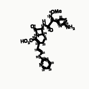 CON=C(C(=O)NC1C(=O)N2C(C(=O)O)=C(C=CSc3ncccn3)CSC12)c1csc(N)n1